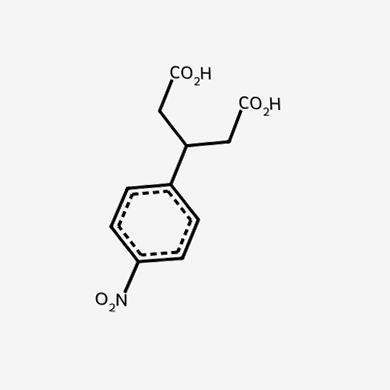 O=C(O)CC(CC(=O)O)c1ccc([N+](=O)[O-])cc1